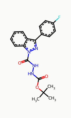 CC(C)(C)OC(=O)NNC(=O)n1nc(-c2ccc(F)cc2)c2c[c]ccc21